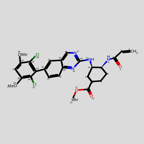 C=CC(=O)N[C@H]1CCC(C(=O)OC(C)(C)C)C[C@H]1Nc1ncc2cc(-c3c(Cl)c(OC)cc(OC)c3Cl)ccc2n1